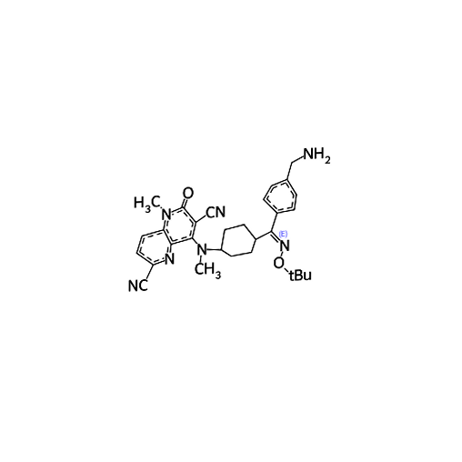 CN(c1c(C#N)c(=O)n(C)c2ccc(C#N)nc12)C1CCC(/C(=N\OC(C)(C)C)c2ccc(CN)cc2)CC1